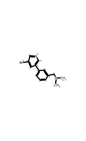 CN(C)Cc1cccc(-c2cncc(Br)c2)c1